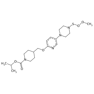 COOSN1CCN(c2ccc(OCC3CCN(C(=O)OC(C)C)CC3)nc2)CC1